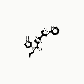 CCCN(C(=O)c1csc(-c2cnn(-c3ccccn3)c2)n1)[C@@H]1CCNC1